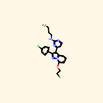 CCCCNc1nccc(-c2c(-c3ccc(F)cc3)nn3c(OCCF)cccc23)n1